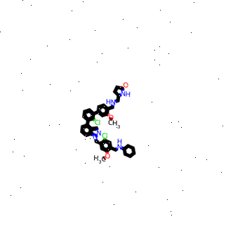 COc1cc(-c2cccc(-c3cccc4c3cnn4Cc3cc(OC)c(CNC4CCCCC4)cc3Cl)c2Cl)ccc1CNCC1CCC(=O)N1